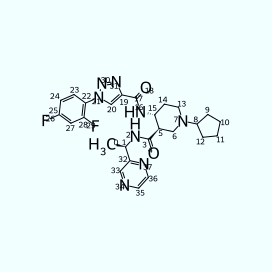 C[C@@H](NC(=O)[C@@H]1CN(C2CCCC2)CC[C@H]1NC(=O)c1cn(-c2ccc(F)cc2F)nn1)c1cnccn1